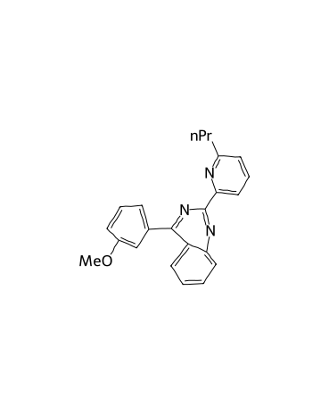 CCCc1cccc(-c2nc(-c3cccc(OC)c3)c3ccccc3n2)n1